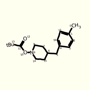 Cc1ccc(CC2CCN(OC(=O)C(C)(C)C)CC2)cc1